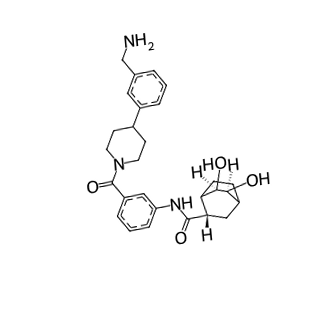 NCc1cccc(C2CCN(C(=O)c3cccc(NC(=O)[C@H]4CC5CCC4[C@@H](O)[C@H]5O)c3)CC2)c1